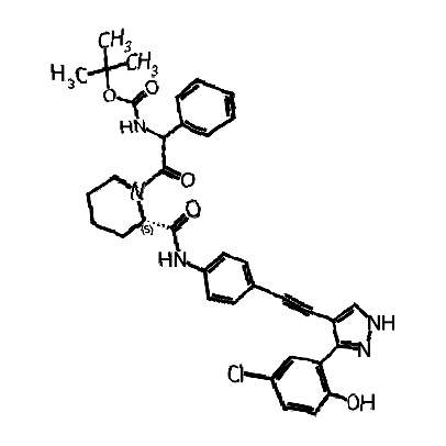 CC(C)(C)OC(=O)NC(C(=O)N1CCCC[C@H]1C(=O)Nc1ccc(C#Cc2c[nH]nc2-c2cc(Cl)ccc2O)cc1)c1ccccc1